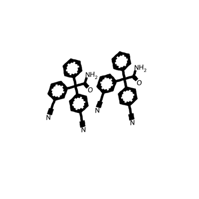 N#Cc1ccc(C(C(N)=O)(c2ccccc2)c2cccc(C#N)c2)cc1.N#Cc1ccc(C(C(N)=O)(c2ccccc2)c2cccc(C#N)c2)cc1